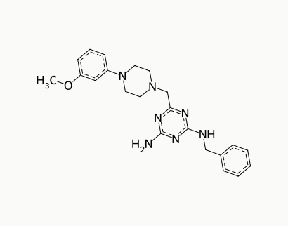 COc1cccc(N2CCN(Cc3nc(N)nc(NCc4ccccc4)n3)CC2)c1